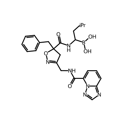 CC(C)CC(NC(=O)C1(Cc2ccccc2)CC(CNC(=O)c2cccc3ncnn23)=NO1)B(O)O